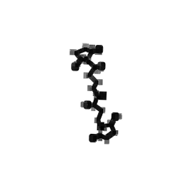 O=C(CCN1C(=O)C=CC1=O)NCCCC(=O)N1C(=O)CCC1=O